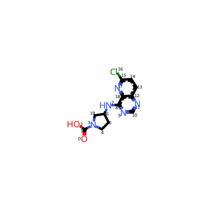 O=C(O)N1CCC(Nc2ncnc3ccc(Cl)nc23)C1